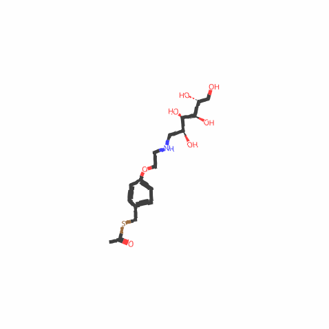 CC(=O)SCc1ccc(OCCNC[C@H](O)[C@@H](O)[C@H](O)[C@H](O)CO)cc1